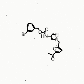 CC(=O)c1ccc(Cn2cc(NC(=O)OCc3cccc(Br)c3)cn2)o1